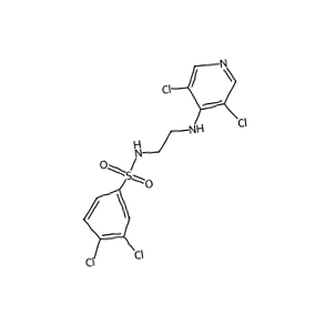 O=S(=O)(NCCNc1c(Cl)cncc1Cl)c1ccc(Cl)c(Cl)c1